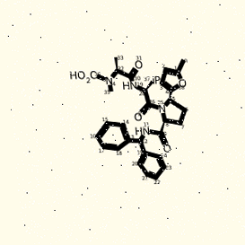 Cc1ccc([C@H]2CC[C@@H](C(=O)NC(c3ccccc3)c3ccccc3)N2C(=O)[C@@H](NC(=O)[C@H](C)N(C)C(=O)O)C(C)C)o1